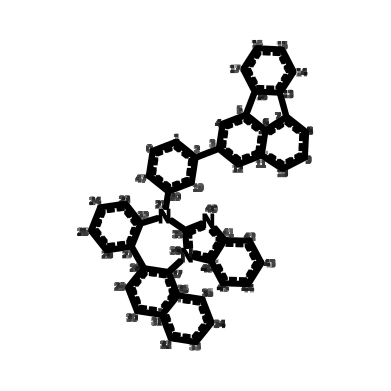 c1cc(-c2cc3c4c(cccc4c2)-c2ccccc2-3)cc(N2c3ccccc3-c3ccc4ccccc4c3-n3c2nc2ccccc23)c1